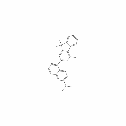 Cc1cc(-c2nccc3cc(C(C)C)ccc23)cc2c1-c1ccccc1C2(C)C